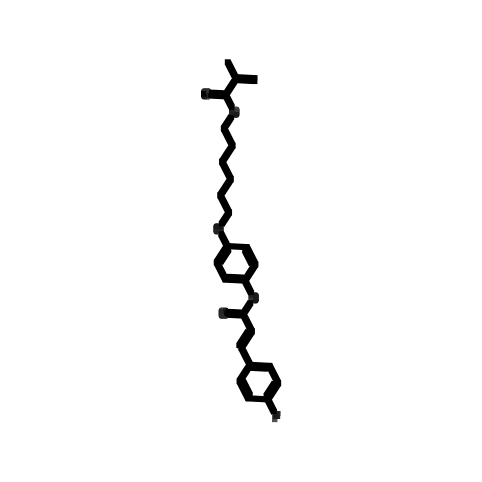 C=C(C)C(=O)OCCCCCCOc1ccc(OC(=O)/C=C/c2ccc(F)cc2)cc1